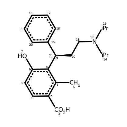 Cc1c(C(=O)O)ccc(O)c1[C@H](CCN(C(C)C)C(C)C)c1ccccc1